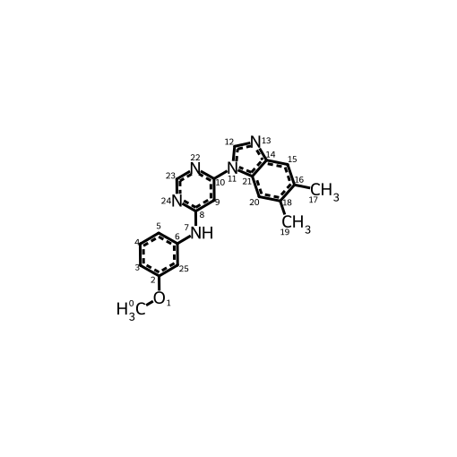 COc1cccc(Nc2cc(-n3cnc4cc(C)c(C)cc43)ncn2)c1